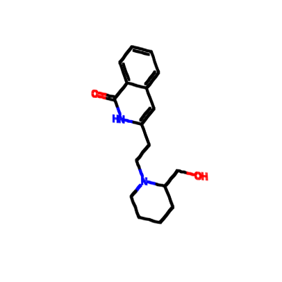 O=c1[nH]c(CCN2CCCCC2CO)cc2ccccc12